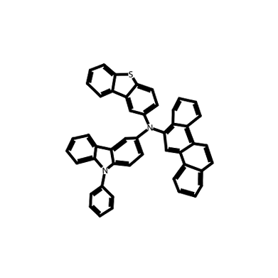 c1ccc(-n2c3ccccc3c3cc(N(c4ccc5sc6ccccc6c5c4)c4cc5c6ccccc6ccc5c5ccccc45)ccc32)cc1